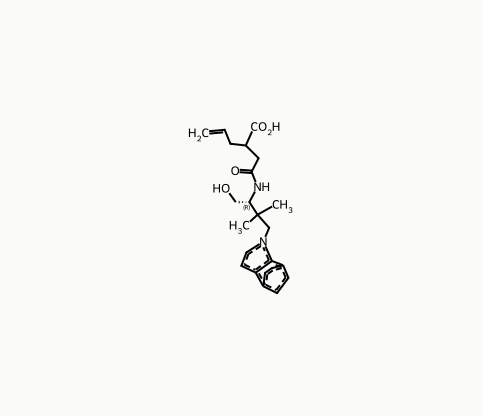 C=CCC(CC(=O)N[C@@H](CO)C(C)(C)Cn1ccc2c3ccc(cc3)c21)C(=O)O